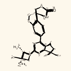 C[C@@H]1N(c2nc(-c3ccc4c(c3)OC[C@@]43COC(=O)N3)c3c(n2)C(F)(F)CC3)C[C@@]1(C)O